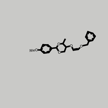 COc1ccc(C2OCC(O/C=C\OCc3ccccc3)C(C)O2)cc1